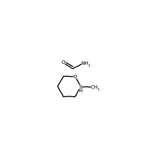 C[SiH]1CCCCO1.NC=O